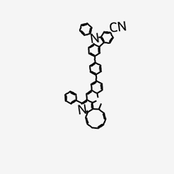 Cc1c(/C=C2/C=C(c3ccc(-c4ccc5c(c4)c4ccc(C#N)cc4n5-c4ccccc4)cc3)C=CC2C)c(-c2ccccc2)nc2c1C(C)/C=C\C=C/C/C=C\2